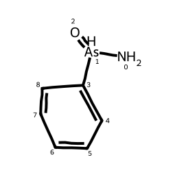 N[AsH](=O)c1ccccc1